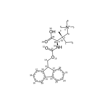 CC[C@@](C)(C[N+](C)(C)C)[C@@H](NC(=O)OCC1c2ccccc2-c2ccccc21)C(=O)O